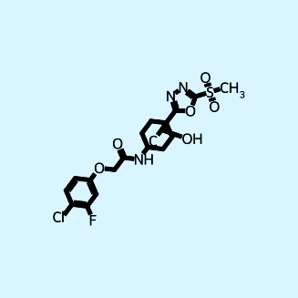 CS(=O)(=O)c1nnc(C23CCC(NC(=O)COc4ccc(Cl)c(F)c4)(CC2)CC3O)o1